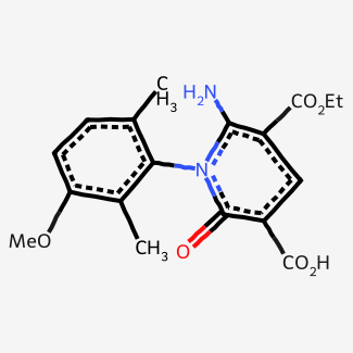 CCOC(=O)c1cc(C(=O)O)c(=O)n(-c2c(C)ccc(OC)c2C)c1N